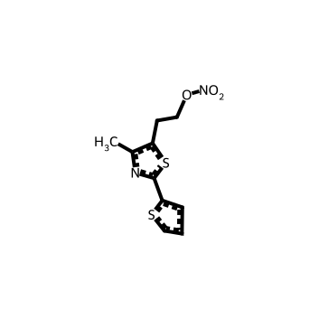 Cc1nc(-c2cccs2)sc1CCO[N+](=O)[O-]